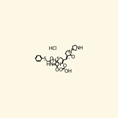 Cl.O=C(CSc1ccccc1)N[C@@H]1C(=O)N2C(OC(=O)O)=C(/C=C3\CCN([C@@H]4CCNC4)C3=O)CS[C@H]12